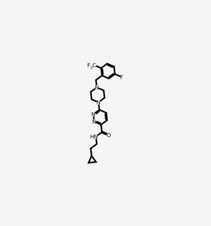 O=C(NCCC1CC1)c1ccc(N2CCN(Cc3cc(F)ccc3C(F)(F)F)CC2)nn1